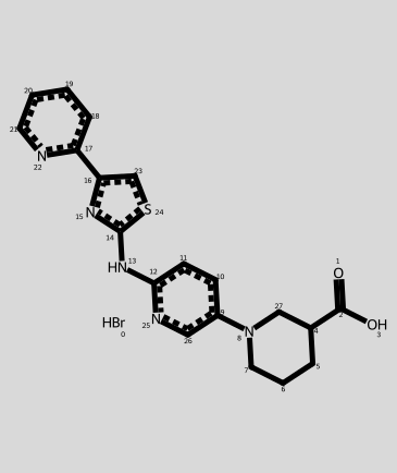 Br.O=C(O)C1CCCN(c2ccc(Nc3nc(-c4ccccn4)cs3)nc2)C1